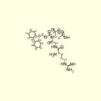 N=C(N)NCCC[C@H](N)C(=O)NCC(=O)N(C(=O)OCC1c2ccccc2-c2ccccc21)[C@@H](CC(=O)O)C(=O)O